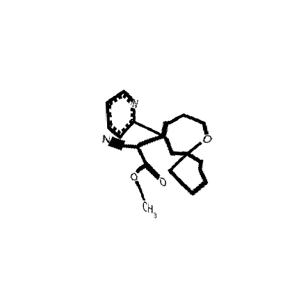 COC(=O)C(C#N)C1(c2ccccn2)CCCOC2(CCCC2)C1